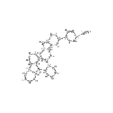 N#Cc1ccc(-c2ccc3sc4ccc(-c5ccccc5-n5c6ccccc6c6ccccc65)cc4c3c2)cc1